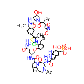 CC(=O)N1CC[C@H]2CC[C@@H](C(=O)N[C@@H](CCC(N)=O)COc3cccc(CCCOc4cc([C@@H](C(=O)N5C[C@H](O)C[C@H]5C(=O)N[C@@H](C)c5ccc(-c6scnc6C)cc5)C(C)C)on4)c3Cl)N2C(=O)[C@@H](NC(=O)c2cc3cc(C(=O)P(=O)(O)O)ccc3[nH]2)C1